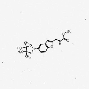 CC(C)(C)OC(=O)NCc1cc2cc(B3OC(C)(C)C(C)(C)O3)ccc2o1